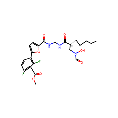 CCCCC[C@H](CN(O)C=O)C(=O)NCNC(=O)c1ccc(-c2ccc(F)c(C(=O)OC)c2F)o1